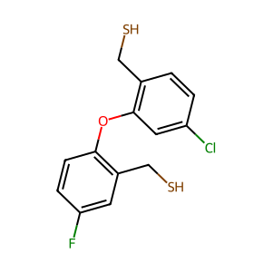 Fc1ccc(Oc2cc(Cl)ccc2CS)c(CS)c1